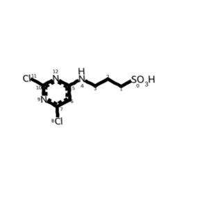 O=S(=O)(O)CCCNc1cc(Cl)nc(Cl)n1